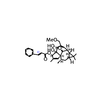 COCC1=C[C@@H]2C(=O)[C@]3(C=C(C)[C@H](OC(=O)/C=C/c4ccccc4)[C@@]3(O)[C@@H]1O)[C@H](C)C[C@@H]1[C@H]2C1(C)C